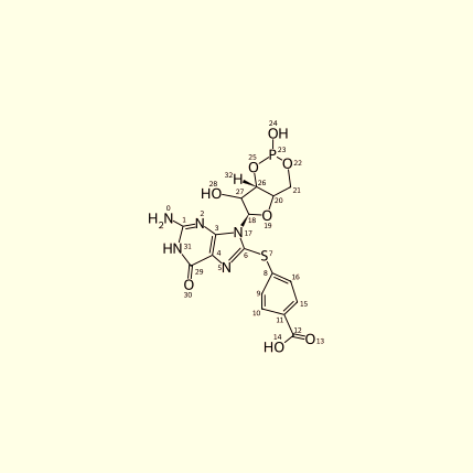 Nc1nc2c(nc(Sc3ccc(C(=O)O)cc3)n2[C@@H]2OC3COP(O)O[C@H]3C2O)c(=O)[nH]1